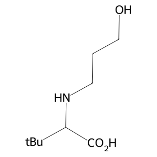 CC(C)(C)C(NCCCO)C(=O)O